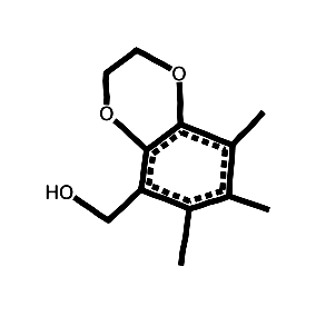 Cc1c(C)c(CO)c2c(c1C)OCCO2